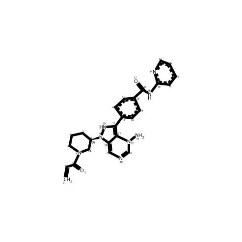 C=CC(=O)N1CCC[C@@H](N2NC(c3ccc(C(=O)Nc4ccccn4)cc3)=C3C2=CN=CN3N)C1